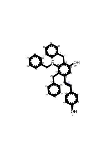 Oc1ccc(/C=C/c2cc(O)c(Cc3ccccc3)c(OCc3ccccc3)c2Cc2ccccc2)cc1